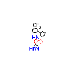 O=C(Nc1ccccc1-c1cccc(C(F)(F)F)c1)Oc1cn[nH]c1